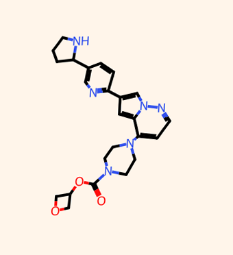 O=C(OC1COC1)N1CCN(c2ccnn3cc(-c4ccc(C5CCCN5)cn4)cc23)CC1